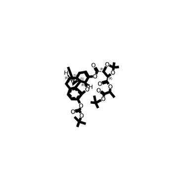 CC(OC(=O)[C@@H]1OC(C)(C)O[C@H]1C(=O)OC1=CC[C@@]2(O)[C@H]3Cc4ccc(OC(=O)OC(C)(C)C)c5c4[C@@]2(CCN3C)[C@H]1O5)C(=O)OC(C)(C)C